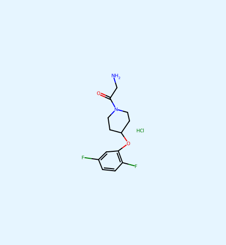 Cl.NCC(=O)N1CCC(Oc2cc(F)ccc2F)CC1